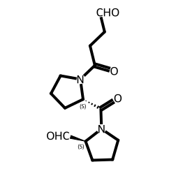 O=CCCC(=O)N1CCC[C@H]1C(=O)N1CCC[C@H]1C=O